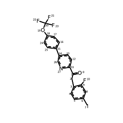 O=C(Cc1ccc(I)cc1F)c1ccc(-c2ccc(OC(F)(F)F)cc2)cn1